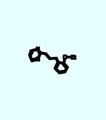 CCOc1ccccc1CCCc1n[c]ccn1